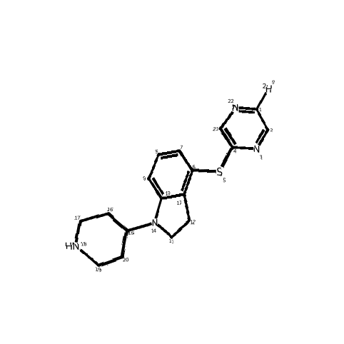 [2H]c1cnc(Sc2cccc3c2CCN3C2CCNCC2)cn1